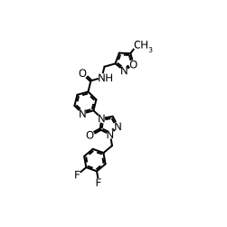 Cc1cc(CNC(=O)c2ccnc(-n3cnn(Cc4ccc(F)c(F)c4)c3=O)c2)no1